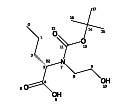 CCC[C@@H](C(=O)O)N(CCO)C(=O)OC(C)(C)C